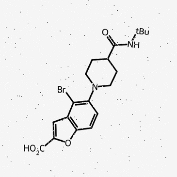 CC(C)(C)NC(=O)C1CCN(c2ccc3oc(C(=O)O)cc3c2Br)CC1